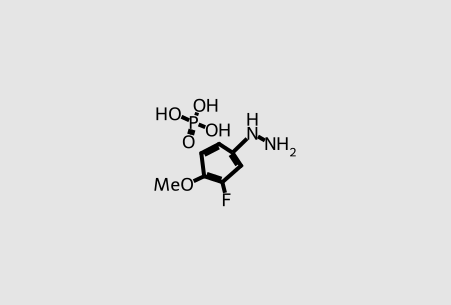 COc1ccc(NN)cc1F.O=P(O)(O)O